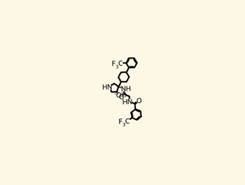 O=C(CNC(=O)c1cccc(C(F)(F)F)c1)N[C@@]1(C2CCC(c3ccccc3C(F)(F)F)CC2)CNC[C@@H]1O